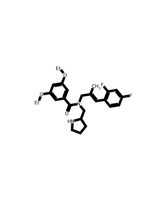 CCOc1cc(OCC)cc(C(=O)N(CC(C)=Cc2ccc(F)cc2F)CC2CCCN2)c1